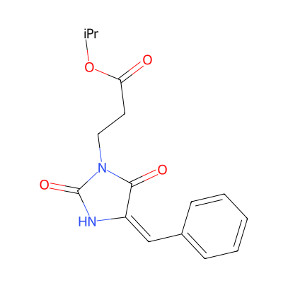 CC(C)OC(=O)CCN1C(=O)NC(=Cc2ccccc2)C1=O